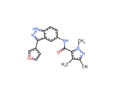 Cc1c(C#N)nn(C)c1C(=O)Nc1ccc2[nH]nc(-c3ccoc3)c2c1